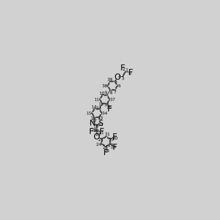 FC(F)=COc1ccc(-c2ccc(-c3ccc4nc(C(F)(F)Oc5cc(F)c(F)c(F)c5)sc4c3)c(F)c2)cc1